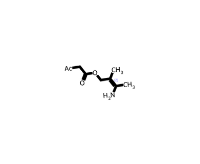 CC(=O)CC(=O)OC/C(C)=C(/C)N